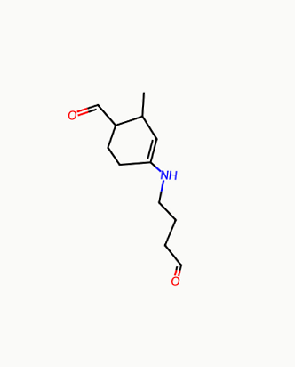 CC1C=C(NCCCC=O)CCC1C=O